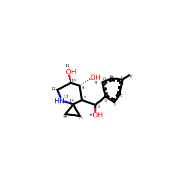 Cc1ccc(C(O)C2[C@@H](O)[C@H](O)CNC23CC3)cc1